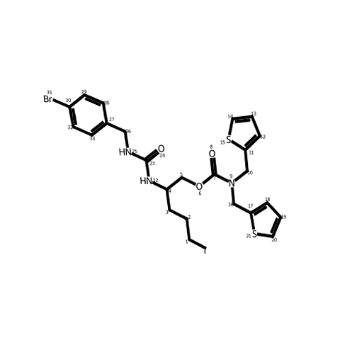 CCCCC(COC(=O)N(Cc1cccs1)Cc1cccs1)NC(=O)NCc1ccc(Br)cc1